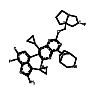 Cc1nc2c(N3C4CCC3CNC4)nc(OC[C@@]34CCCN3C[C@H](F)C4)nc2c(C2CC2)c1-c1cc(F)c(F)c2oc(N)c(C3CC3)c12